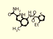 CCc1ccsc1S(=O)(=O)Nc1ccc(C)c2cc(C(N)=O)[nH]c12